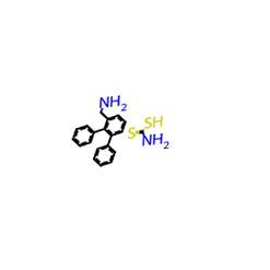 NC(=S)S.NCc1cccc(-c2ccccc2)c1-c1ccccc1